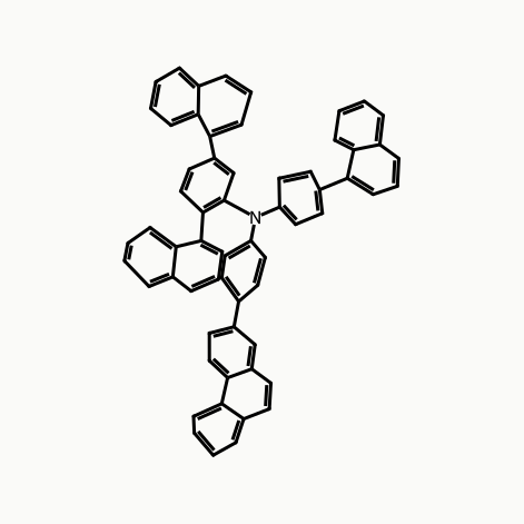 c1ccc2c(-c3ccc(N(c4ccc(-c5ccc6c(ccc7ccccc76)c5)cc4)c4cc(-c5cccc6ccccc56)ccc4-c4cccc5ccccc45)cc3)cccc2c1